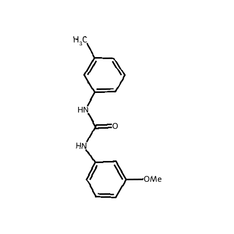 COc1cccc(NC(=O)Nc2cccc(C)c2)c1